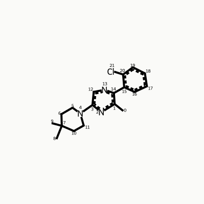 Cc1nc(N2CCC(C)(C)CC2)cnc1-c1ccccc1Cl